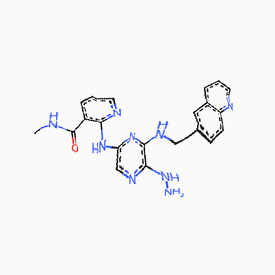 CNC(=O)c1cccnc1Nc1cnc(NN)c(NCc2ccc3ncccc3c2)n1